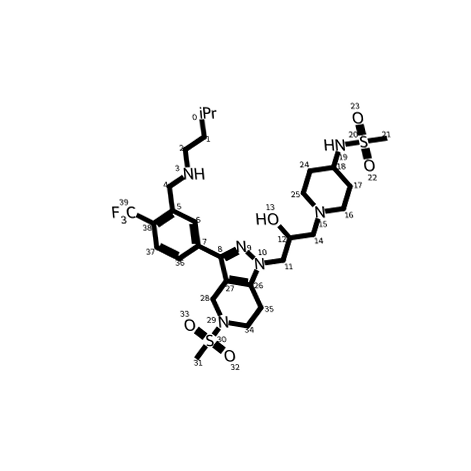 CC(C)CCNCc1cc(-c2nn(CC(O)CN3CCC(NS(C)(=O)=O)CC3)c3c2CN(S(C)(=O)=O)CC3)ccc1C(F)(F)F